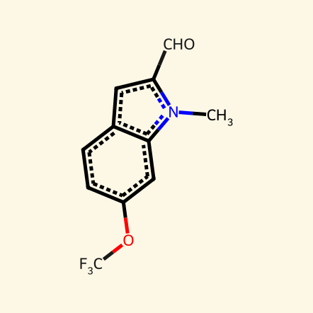 Cn1c(C=O)cc2ccc(OC(F)(F)F)cc21